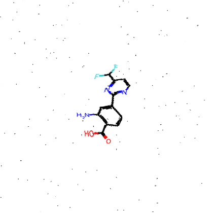 Nc1cc(-c2nccc(C(F)F)n2)ccc1C(=O)O